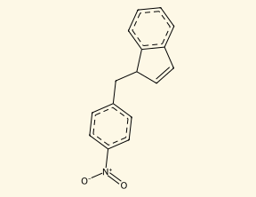 O=[N+]([O-])c1ccc(CC2C=Cc3ccccc32)cc1